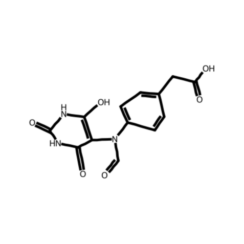 O=CN(c1ccc(CC(=O)O)cc1)c1c(O)[nH]c(=O)[nH]c1=O